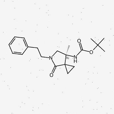 CC(C)(C)OC(=O)N[C@]1(C)CN(CCc2ccccc2)C(=O)C12CC2